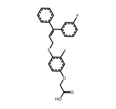 O=C(O)COc1ccc(SC/C=C(/c2ccccc2)c2cccc(F)c2)c(I)c1